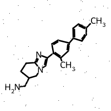 Cc1ccc(-c2ccc(-c3cn4c(n3)CCC(CN)C4)c(C)c2)cc1